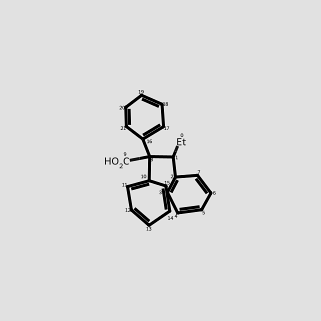 CCC(c1ccccc1)C(C(=O)O)(c1ccccc1)c1ccccc1